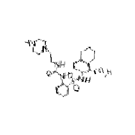 O=C(NCCN1CCNCC1)Nc1ccccc1S(=O)(=O)Nc1ccc2c(c1C(=O)O)CCCC2